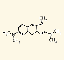 C=CC1=CC2C=CC(N(C)C)=CC2CC1/C=C/N(C)C